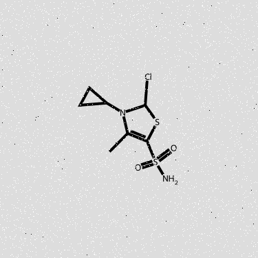 CC1=C(S(N)(=O)=O)SC(Cl)N1C1CC1